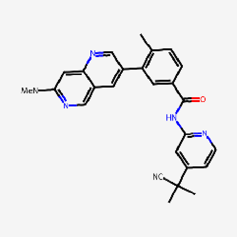 CNc1cc2ncc(-c3cc(C(=O)Nc4cc(C(C)(C)C#N)ccn4)ccc3C)cc2cn1